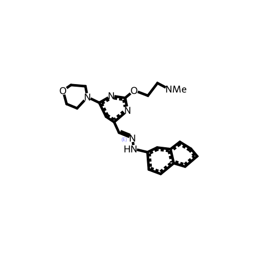 CNCCOc1nc(/C=N/Nc2ccc3ccccc3c2)cc(N2CCOCC2)n1